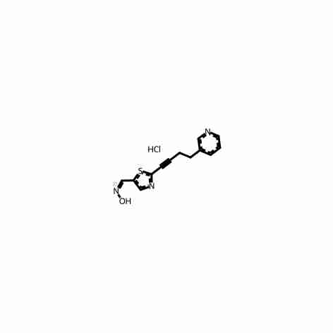 Cl.O/N=C\c1cnc(C#CCCc2cccnc2)s1